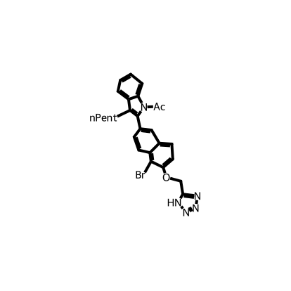 CCCCCc1c(-c2ccc3c(Br)c(OCc4nnn[nH]4)ccc3c2)n(C(C)=O)c2ccccc12